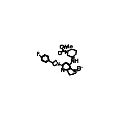 COC(=O)N1CCC[C@@H](Nc2cc(N3CC(c4ccc(F)cc4)C3)nc3c2[S@+]([O-])CC3)C1